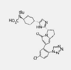 CC(C)(C)N(C(=O)O)[C@H]1CC[C@H](c2cnc([C@@H]3CCc4cc(-c5cc(Cl)ccc5-n5cnnn5)cc(=O)n43)[nH]2)CC1